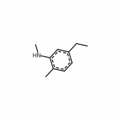 CCc1ccc(C)c(NC)c1